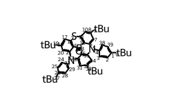 CC(C)(C)c1ccc(N2c3cc(C(C)(C)C)cc4c3P3(=O)c5c(cc(C(C)(C)C)cc5N(c5ccc(C(C)(C)C)cc5)c5cc(C(C)(C)C)cc2c53)S4)cc1